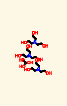 OB(O)O.OCCN(CCO)CCO.OCCN(CCO)CCO.OCCN(CCO)CCO